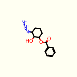 [N-]=[N+]=NC1CCCC(OC(=O)c2ccccc2)C1O